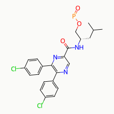 CC(C)C[C@@H](COP=O)NC(=O)c1cnc(-c2ccc(Cl)cc2)c(-c2ccc(Cl)cc2)n1